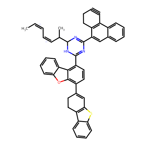 C/C=C\C=C/C(C)C1N=C(c2cc3ccccc3c3c2CCC#C3)N=C(c2ccc(C3=Cc4sc5ccccc5c4CC3)c3oc4ccccc4c23)N1